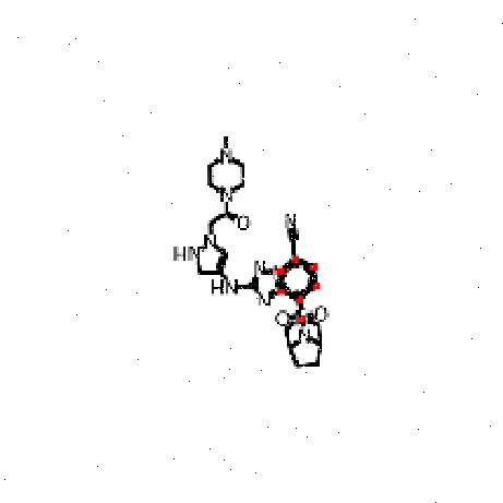 CN1CCN(C(=O)CN2C=C(Nc3nc4c(N5CC6CCC(C5)N6S(=O)(=O)c5ccc(C#N)cc5)cccn4n3)CN2)CC1